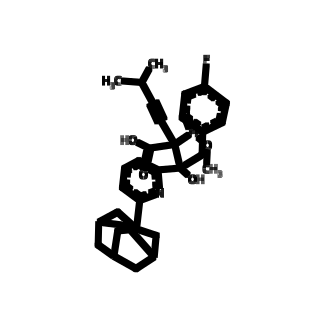 CO[PH](=O)C(C#CC(C)C)(C(=O)O)C(O)(Cc1ccc(F)cc1)c1cccc(C23CC4CC(CC(C4)C2)C3)n1